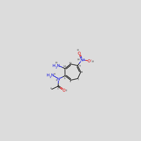 CC(=O)N(N)C1=CCC=C([N+](=O)[O-])C=C1N